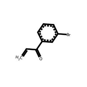 C=CC(=O)c1cccc(Br)c1